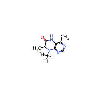 [2H]C([2H])([2H])N1c2ncnc(C)c2NC(=O)C1C